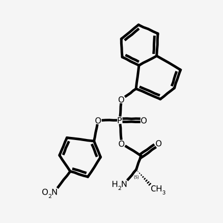 C[C@H](N)C(=O)OP(=O)(Oc1ccc([N+](=O)[O-])cc1)Oc1cccc2ccccc12